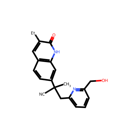 CCc1cc2ccc(C(C)(C#N)Cc3cccc(CO)n3)cc2[nH]c1=O